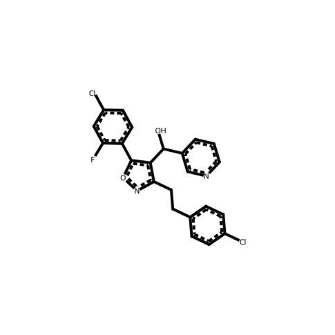 OC(c1cccnc1)c1c(CCc2ccc(Cl)cc2)noc1-c1ccc(Cl)cc1F